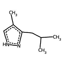 Cc1c[nH]nc1CC(C)C